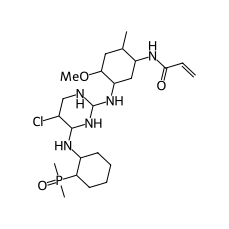 C=CC(=O)NC1CC(NC2NCC(Cl)C(NC3CCCCC3P(C)(C)=O)N2)C(OC)CC1C